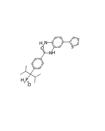 CC(C)C([PH2]=O)(c1ccc(C(=O)Nc2cc(-c3cccs3)ccc2N)cc1)C(C)C